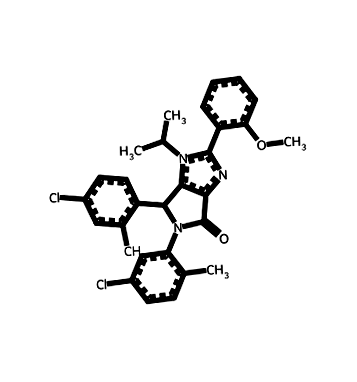 COc1ccccc1-c1nc2c(n1C(C)C)C(c1ccc(Cl)cc1C)N(c1cc(Cl)ccc1C)C2=O